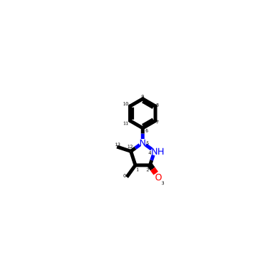 CC1C(=O)NN(c2ccccc2)C1C